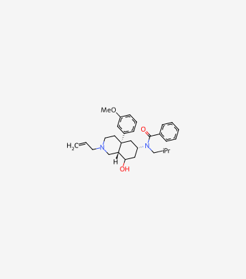 C=CCN1CC[C@@]2(c3cccc(OC)c3)C[C@H](N(CC(C)C)C(=O)c3ccccc3)CC(O)[C@@H]2C1